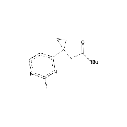 Cc1nccc(C2(NC(=O)C(C)(C)C)CC2)n1